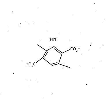 Cc1cc(C(=O)O)c(C)cc1C(=O)O.Cl